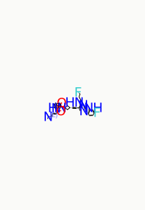 C[C@@H](C(=O)N[C@H]1C[C@H](C#Cc2cnc(Nc3cccc(F)c3)nc2NCCCF)C1)N(C)C(=O)/C=C/CN(C)C